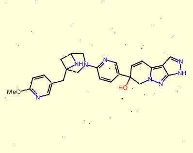 COc1ccc(CC23CC(CN(c4ccc(C5(O)C=Cc6c7cn[nH]c7nn6C5)cn4)C2)N3)cn1